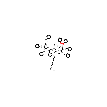 CNC(=O)CCCCCCCCOC1OC(COC2OC(COC(=O)c3ccccc3)C(OC(=O)c3ccccc3)C(OC(=O)c3ccccc3)C2OC(=O)c2ccccc2)C(OC(C)=O)C(OC2OC(COC(=O)c3ccccc3)C(OC(=O)c3ccccc3)C(OC(=O)c3ccccc3)C2OC(=O)c2ccccc2)C1OC(C)=O